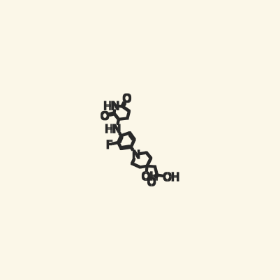 O=C(O)CC1(O)CCN(c2ccc(NC3CCC(=O)NC3=O)c(F)c2)CC1